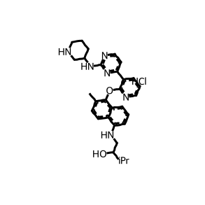 Cc1ccc2c(NCC(O)C(C)C)cccc2c1Oc1ncccc1-c1ccnc(NC2CCCNC2)n1.Cl